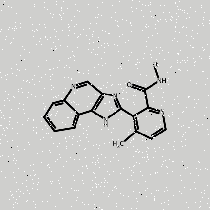 CCNC(=O)c1nccc(C)c1-c1nc2cnc3ccccc3c2[nH]1